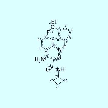 CCOc1cccc(F)c1-c1c(F)ccc2c(N)c(C(=O)NC3CCC3)nnc12